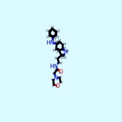 O=C(CN1CCOCC1)NCCC1=CN=C2CC=C(Nc3ccccc3)C=C12